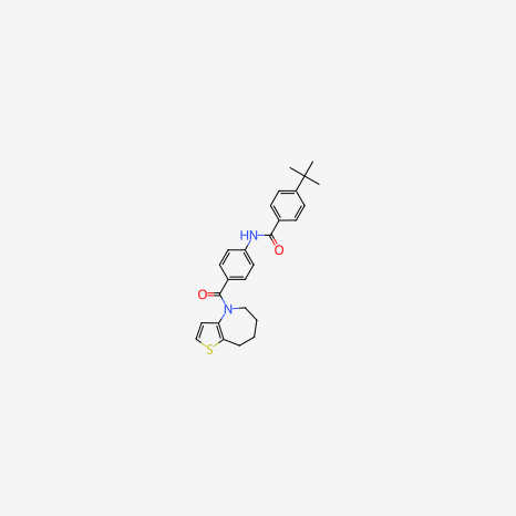 CC(C)(C)c1ccc(C(=O)Nc2ccc(C(=O)N3CCCCc4sccc43)cc2)cc1